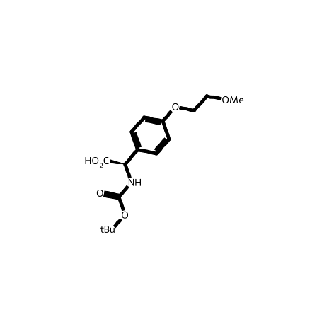 COCCOc1ccc([C@@H](NC(=O)OC(C)(C)C)C(=O)O)cc1